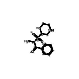 NN(C(=O)c1ccccc1)S(=O)(=O)C1CNCCO1